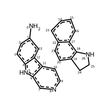 Nc1ccc2[nH]c3cnccc3c2c1.c1ccc2c3c(ccc2c1)CCN3